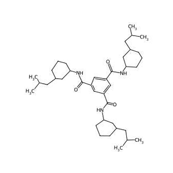 CC(C)CC1CCCC(NC(=O)c2cc(C(=O)NC3CCCC(CC(C)C)C3)cc(C(=O)NC3CCCC(CC(C)C)C3)c2)C1